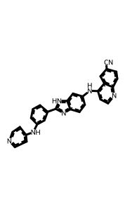 N#Cc1ccc2nccc(Nc3ccc4nc(-c5cccc(Nc6ccncc6)c5)[nH]c4c3)c2c1